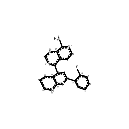 Nc1nccc2c(-c3cc(-c4ccccc4F)nc4ncccc34)ncnc12